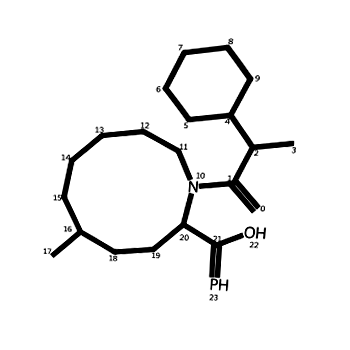 C=C(C(C)C1CCCCC1)N1CCCCCC(C)CCC1C(O)=P